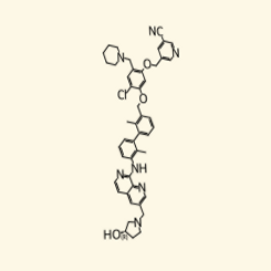 Cc1c(COc2cc(OCc3cncc(C#N)c3)c(CN3CCCCC3)cc2Cl)cccc1-c1cccc(Nc2nccc3cc(CN4CC[C@@H](O)C4)cnc23)c1C